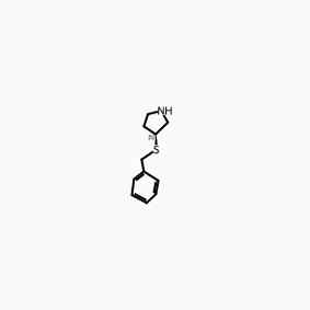 c1ccc(CS[C@H]2CCNC2)cc1